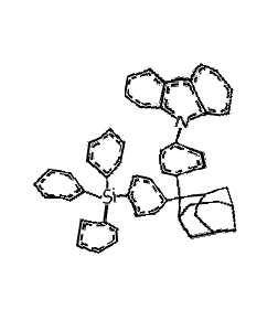 c1ccc([Si](c2ccccc2)(c2ccccc2)c2ccc(C3(c4ccc(-n5c6ccccc6c6ccccc65)cc4)C4CC5CC(C4)CC3C5)cc2)cc1